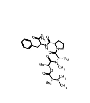 CC[C@H](C)[C@H](OC(=O)[C@H]([C@@H](C)CC)N(C)C)C(=O)N(C)[C@H](C(=O)N1CCC[C@H]1C(=O)N[C@@H](Cc1ccccc1)C(N)=O)[C@@H](C)CC